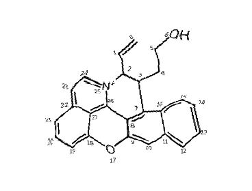 C=CC1C(CCO)c2c3c(cc4ccccc24)Oc2cccc4cc[n+]1c-3c24